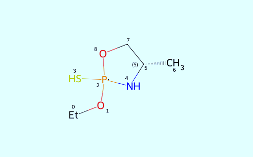 CCO[P]1(S)N[C@@H](C)CO1